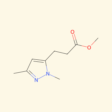 COC(=O)CCc1cc(C)nn1C